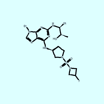 CC[C@H](Nc1nc(N[C@H]2CCN(S(=O)(=O)N3CC(F)C3)C2)c2ncn(CC)c2n1)[C@@H](C)O